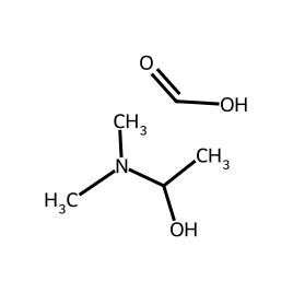 CC(O)N(C)C.O=CO